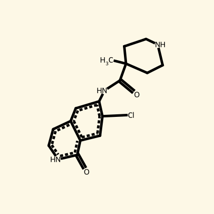 CC1(C(=O)Nc2cc3cc[nH]c(=O)c3cc2Cl)CCNCC1